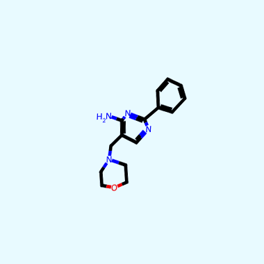 Nc1nc(-c2ccccc2)ncc1CN1CCOCC1